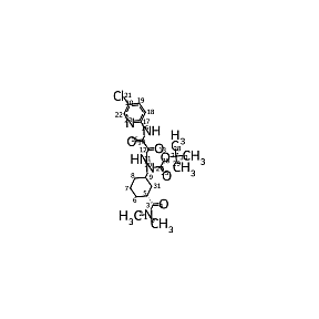 CN(C)C(=O)[C@@H]1CCCC(N(NC(=O)C(=O)Nc2ccc(Cl)cn2)C(=O)OC(C)(C)C)C1